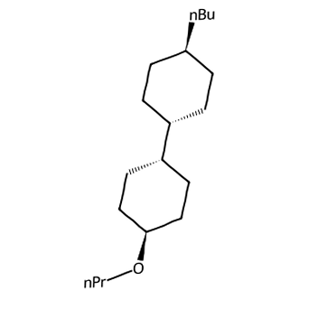 CCCC[C@H]1CC[C@H]([C@H]2CC[C@H](OCCC)CC2)CC1